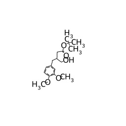 COc1ccc(CC(CO)CC(=O)OC(C)(C)C)cc1OC